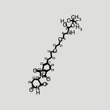 CC(C)(C)OC(=O)NCCOCCOCCCc1ccc2c(c1)C(=O)N(C1CCC(=O)NC1=O)C2=O